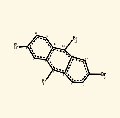 Brc1ccc2c(Br)c3cc(Br)ccc3c(Br)c2c1